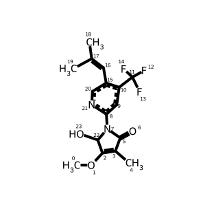 COC1=C(C)C(=O)N(c2cc(C(F)(F)F)c(C=C(C)C)cn2)C1O